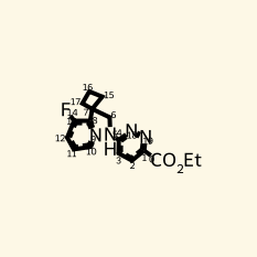 CCOC(=O)c1ccc(NCC2(c3ncccc3F)CCC2)nn1